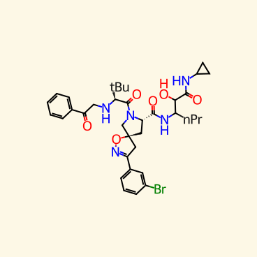 CCCC(NC(=O)[C@@H]1C[C@]2(CC(c3cccc(Br)c3)=NO2)CN1C(=O)[C@@H](NCC(=O)c1ccccc1)C(C)(C)C)C(O)C(=O)NC1CC1